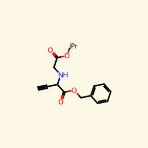 C#CC(NCC(=O)OC(C)C)C(=O)OCc1ccccc1